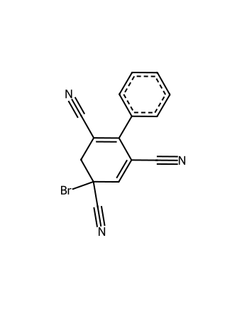 N#CC1=CC(Br)(C#N)CC(C#N)=C1c1ccccc1